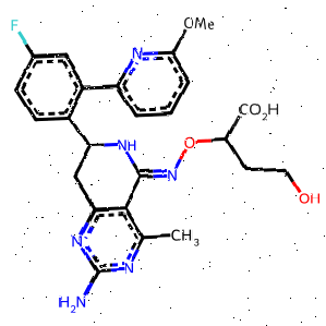 COc1cccc(-c2cc(F)ccc2C2Cc3nc(N)nc(C)c3C(=NOC(CCO)C(=O)O)N2)n1